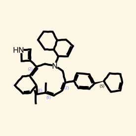 CC1=C\C=C(\c2ccc([C@@H]3CC=CCC3)cc2)CN(C2C=CCC3CCCCC32)C/C(C2=CNC2)=C2/CCC=C/C2=C\1C